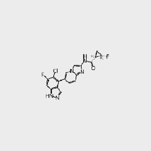 O=C(Nc1cn2cc(-c3c(Cl)c(F)cc4[nH]ncc34)ccc2n1)[C@@H]1C[C@@H]1F